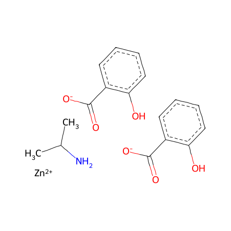 CC(C)N.O=C([O-])c1ccccc1O.O=C([O-])c1ccccc1O.[Zn+2]